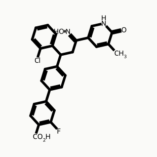 Cc1cc(/C(CC(c2ccc(-c3ccc(C(=O)O)c(F)c3)cc2)c2ccccc2Cl)=N/O)c[nH]c1=O